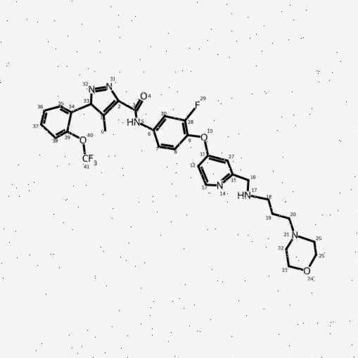 CC1=C(C(=O)Nc2ccc(Oc3ccnc(CNCCCN4CCOCC4)c3)c(F)c2)N=NC1c1ccccc1OC(F)(F)F